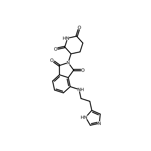 O=C1CCC(N2C(=O)c3cccc(NCCc4cnc[nH]4)c3C2=O)C(=O)N1